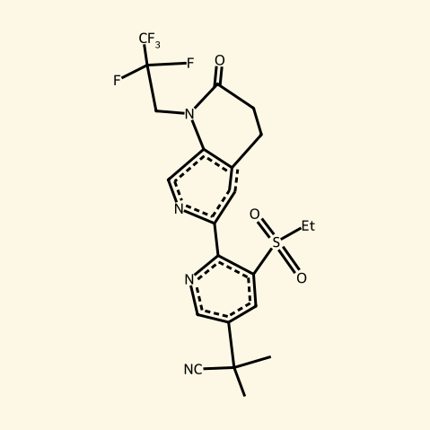 CCS(=O)(=O)c1cc(C(C)(C)C#N)cnc1-c1cc2c(cn1)N(CC(F)(F)C(F)(F)F)C(=O)CC2